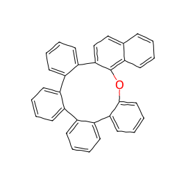 c1ccc2c(c1)Oc1c(ccc3ccccc13)-c1ccccc1-c1ccccc1-c1ccccc1-2